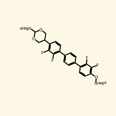 CCCCCCCOc1ccc(-c2ccc(-c3ccc(C4COC(CCCCCCC)OC4)c(F)c3F)cc2)c(F)c1F